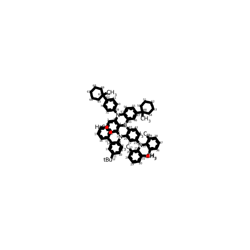 Cc1cc2c3c(c1)N(c1ccc(C(C)(C)C)cc1-c1ccccc1)c1cc(N(c4c(C)cccc4C)c4c(C)cccc4C)ccc1B3c1cc(C3(C)CCCCC3)ccc1N2c1ccc(C2(C)CCCCC2)cc1